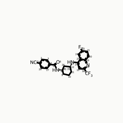 N#Cc1ccc(C(=O)N[C@@H]2CCC[C@H](Nc3cc(C(F)(F)F)nc4ccc(F)cc34)C2)cc1